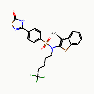 Cc1c(N(CCCCC(F)(F)F)S(=O)(=O)c2ccc(-c3nsc(=O)[nH]3)cc2)sc2ccccc12